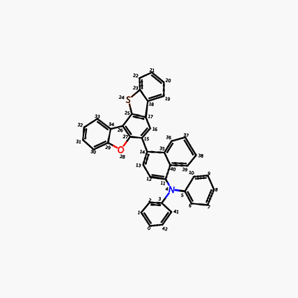 c1ccc(N(c2ccccc2)c2ccc(-c3cc4c5ccccc5sc4c4c3oc3ccccc34)c3ccccc23)cc1